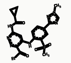 CCC(=O)c1nnc(NC(=O)C2CC2)cc1Nc1ccc(-c2ncn(C)n2)cc1S(C)(=O)=O